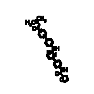 CN(C)CC(=O)N1CCN(c2ccc(Nc3nccc(-c4ccc(NC(=O)[C@H]5CCCO5)cc4)n3)cc2)CC1